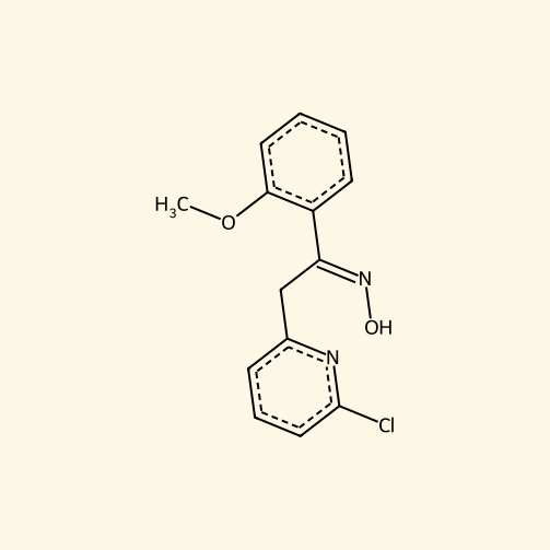 COc1ccccc1C(Cc1cccc(Cl)n1)=NO